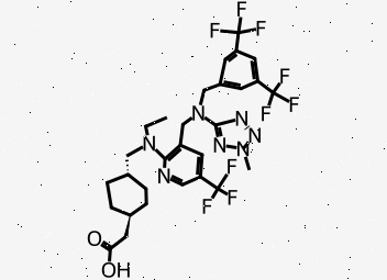 CCN(C[C@H]1CC[C@H](CC(=O)O)CC1)c1ncc(C(F)(F)F)cc1CN(Cc1cc(C(F)(F)F)cc(C(F)(F)F)c1)c1nnn(C)n1